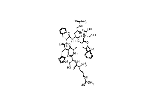 C[C@@H](NC(=O)[C@H](CS)NC(=O)[C@@H](N)CCCNC(=N)N)C(=O)N[C@@H](Cc1c[nH]cn1)C(=O)N[C@H](Cc1ccccc1)C(=O)N[C@@H](CC(Br)CNC(=N)N)C(=O)N[C@@H](Cc1c[nH]c2ccccc12)C(=O)N[C@@H](CS)C(=O)O